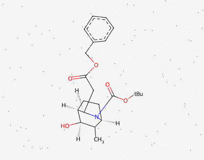 CC1[C@@H](O)[C@H]2CC[C@@H]1N(C(=O)OC(C)(C)C)[C@@H]2CC(=O)OCc1ccccc1